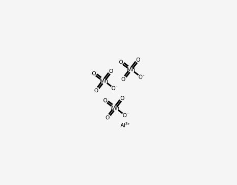 [Al+3].[O]=[Mn](=[O])(=[O])[O-].[O]=[Mn](=[O])(=[O])[O-].[O]=[Mn](=[O])(=[O])[O-]